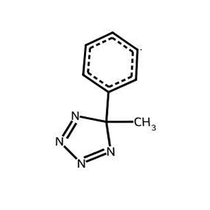 CC1(c2c[c]ccc2)N=NN=N1